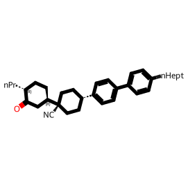 CCCCCCCc1ccc(-c2ccc([C@H]3CC[C@@](C#N)([C@@H]4CC[C@@H](CCC)C(=O)C4)CC3)cc2)cc1